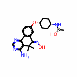 CB(O)N[C@H]1CC[C@H](Oc2ccc3c(c2)C(=NO)C(C)(C)c2c(N)ncnc2-3)CC1